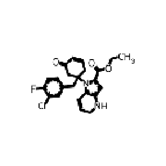 CCOC(=O)c1cc2c(n1C1(Cc3ccc(F)c(Cl)c3)CC=CC(=O)C1)C=CCN2